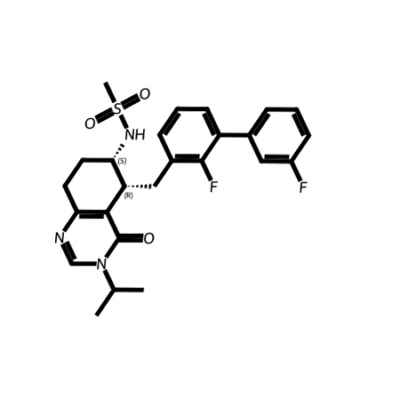 CC(C)n1cnc2c(c1=O)[C@@H](Cc1cccc(-c3cccc(F)c3)c1F)[C@@H](NS(C)(=O)=O)CC2